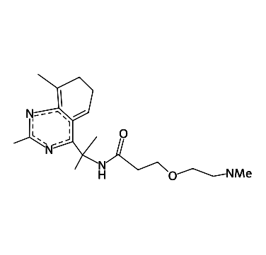 CNCCOCCC(=O)NC(C)(C)c1nc(C)nc2c1=CCCC=2C